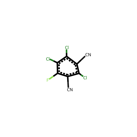 N#Cc1c(F)c(Cl)c(Cl)c(C#N)c1Cl